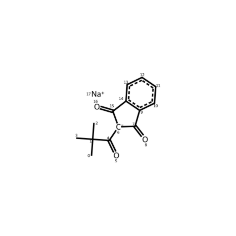 CC(C)(C)C(=O)[C-]1C(=O)c2ccccc2C1=O.[Na+]